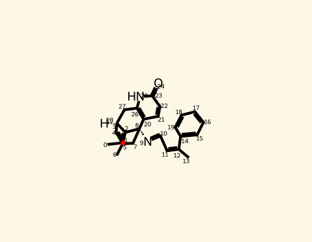 C/C=C1\[C@H]2C=C(C)C[C@]1(N=CC=C(C)c1ccccc1)c1ccc(=O)[nH]c1C2